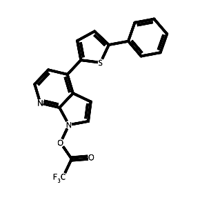 O=C(On1ccc2c(-c3ccc(-c4ccccc4)s3)ccnc21)C(F)(F)F